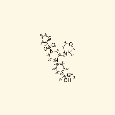 C[C@@H]1COCCN1CC1CN(S(=O)(=O)c2cccs2)CCN1c1ccc([C@](C)(O)C(F)(F)F)cc1